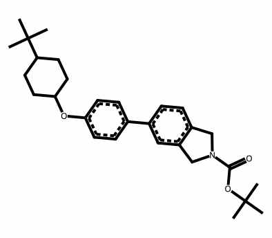 CC(C)(C)OC(=O)N1Cc2ccc(-c3ccc(OC4CCC(C(C)(C)C)CC4)cc3)cc2C1